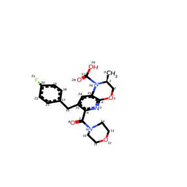 C[C@H]1COc2nc(C(=O)N3CCOCC3)c(Cc3ccc(F)cc3)cc2N1C(=O)O